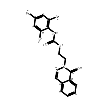 CC(C)c1cc(Br)c(NC(=O)OCCn2ncc3ccccc3c2=O)c(Br)c1